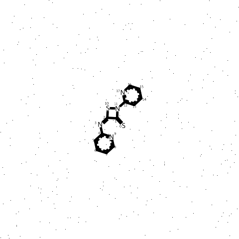 S=C1C(=Nc2ccccn2)SN1c1ccccn1